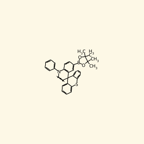 CC1(C)OB(c2ccc3c(c2)C2(c4ccccc4Sc4ccccc42)c2ccccc2N3c2ccccc2)OC1(C)C